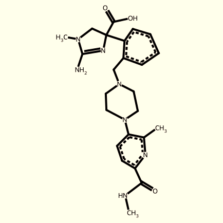 CNC(=O)c1ccc(N2CCN(Cc3ccccc3C3(C(=O)O)CN(C)C(N)=N3)CC2)c(C)n1